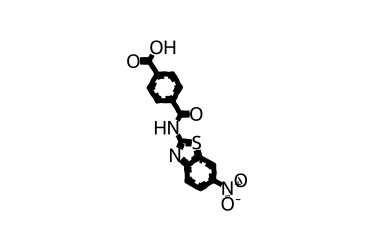 O=C(O)c1ccc(C(=O)Nc2nc3ccc([N+](=O)[O-])cc3s2)cc1